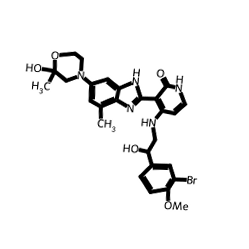 COc1ccc(C(O)CNc2cc[nH]c(=O)c2-c2nc3c(C)cc(N4CCOC(C)(O)C4)cc3[nH]2)cc1Br